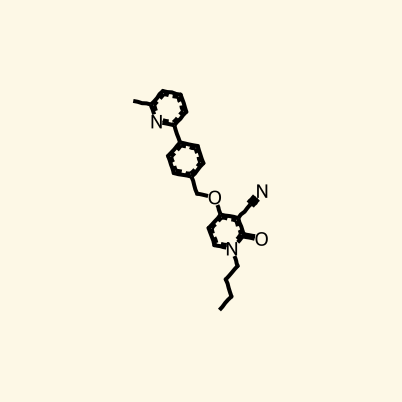 CCCCn1ccc(OCc2ccc(-c3cccc(C)n3)cc2)c(C#N)c1=O